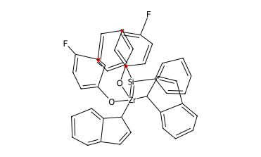 Fc1ccc([O][Zr]([O]c2ccc(F)cc2)([CH]2C=Cc3ccccc32)([CH]2C=Cc3ccccc32)=[Si](c2ccccc2)c2ccccc2)cc1